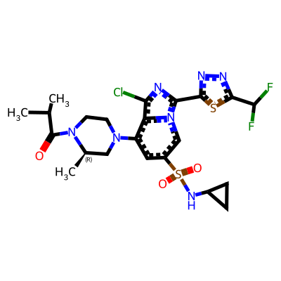 CC(C)C(=O)N1CCN(c2cc(S(=O)(=O)NC3CC3)cn3c(-c4nnc(C(F)F)s4)nc(Cl)c23)C[C@H]1C